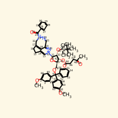 COc1ccc(C(OC[C@H]2O[C@@H](N3C=C4CCC5=C4C(=N3)C=NN(C(=O)c3ccccc3)C5)[C@H](O[Si](C)(C)C(C)(C)C)[C@@H]2OC(=O)CCC(C)=O)(c2ccccc2)c2ccc(OC)cc2)cc1